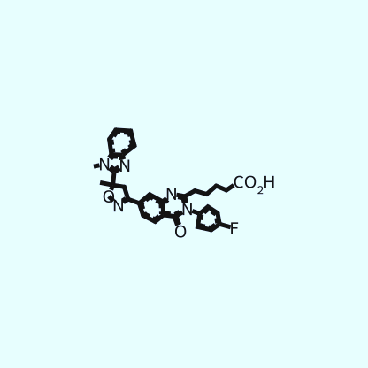 Cn1c(C2(C)CC(c3ccc4c(=O)n(-c5ccc(F)cc5)c(CCCCC(=O)O)nc4c3)=NO2)nc2ccccc21